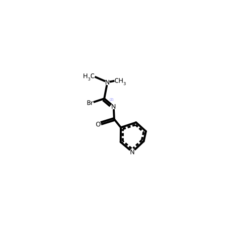 CN(C)/C(Br)=N/C(=O)c1cccnc1